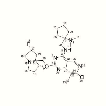 CN(C)C1(CNc2nc(OC[C@@]34CCCN3C[C@H](F)C4)nc3c(F)c(Cl)ncc23)CCCC1